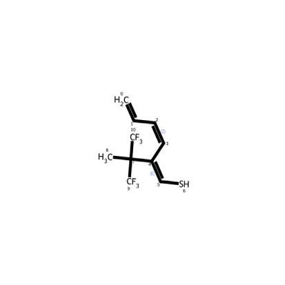 C=C/C=C\C(=C/S)C(C)(C(F)(F)F)C(F)(F)F